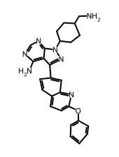 NCC1CCC(n2nc(-c3ccc4ccc(Oc5ccccc5)nc4c3)c3c(N)ncnc32)CC1